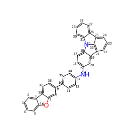 c1ccc2c(c1)oc1cc(-c3ccc(Nc4ccc5c(c4)c4cccc6c7ccccc7n5c64)cc3)ccc12